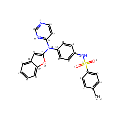 Cc1ccc(S(=O)(=O)Nc2ccc(N(c3ccncn3)c3cc4ccccc4o3)cc2)cc1